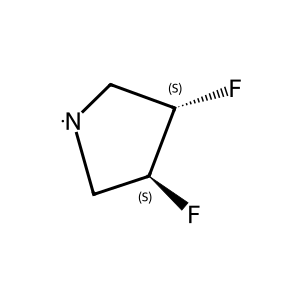 F[C@H]1C[N]C[C@@H]1F